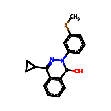 CSc1cccc(N2N=C(C3CC3)c3ccccc3B2O)c1